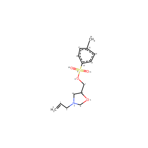 C=CCN1COC(COS(=O)(=O)c2ccc(C)cc2)C1